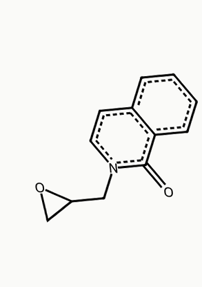 O=c1c2ccccc2ccn1CC1CO1